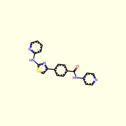 O=C(Nc1ccncc1)c1ccc(-c2csc(Nc3ccccn3)n2)cc1